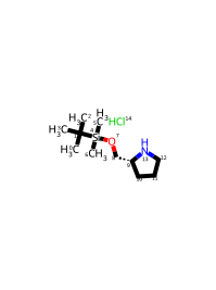 CC(C)(C)[Si](C)(C)OC[C@H]1CCCN1.Cl